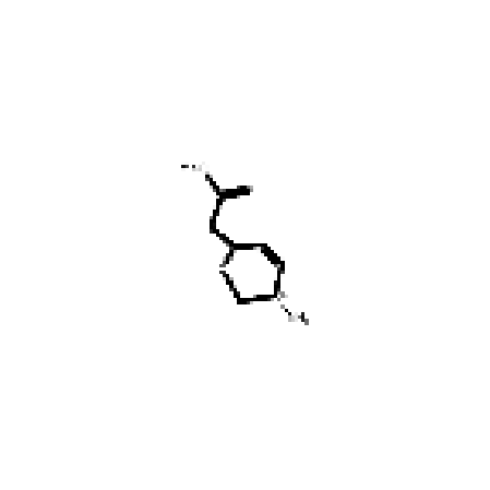 COC(=O)CC1C=C[C@H](N)CO1